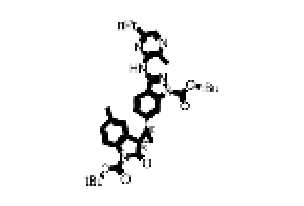 CCCc1cnc(C)c(Nc2nn(C(=O)OC(C)(C)C)c3cc([C@@H]4C[C@@]45C(=O)N(C(=O)OC(C)(C)C)c4ccc(C)cc45)ccc23)n1